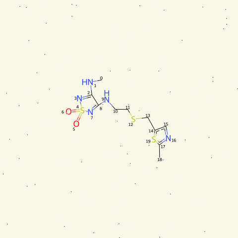 CNC1=NS(=O)(=O)N=C1NCCSCc1cnc(C)s1